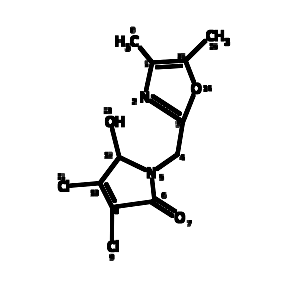 Cc1nc(CN2C(=O)C(Cl)=C(Cl)C2O)oc1C